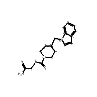 NC(=O)COC(=O)N1CCC(Cn2ccc3ccccc32)CC1